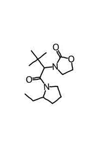 CCC1CCCN1C(=O)C(N1CCOC1=O)C(C)(C)C